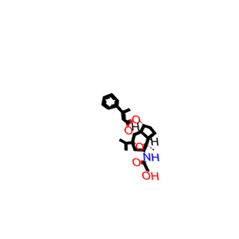 C/C(=C\C(=O)O[C@H]1[C@@H]2[C@H](C)CC[C@H]2[C@]2(C)OC1(C(C)C)C[C@H]2NC(=O)CO)c1ccccc1